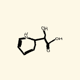 O=C(O)C(O)[C]1C=CC=CN1